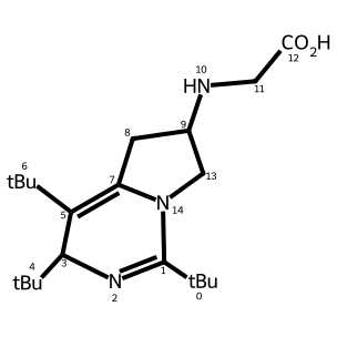 CC(C)(C)C1=NC(C(C)(C)C)C(C(C)(C)C)=C2CC(NCC(=O)O)CN12